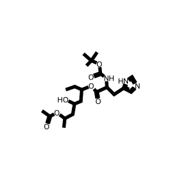 CCC(CC(O)CC(C)OC(C)=O)OC(=O)C(Cc1cnc[nH]1)NC(=O)OC(C)(C)C